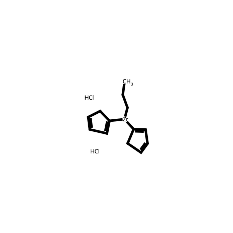 CC[CH2][Zr]([C]1=CC=CC1)[C]1=CC=CC1.Cl.Cl